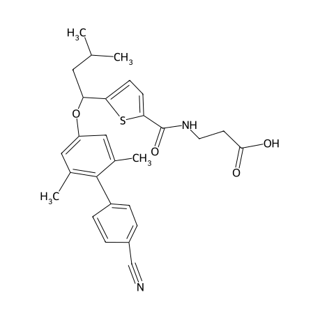 Cc1cc(OC(CC(C)C)c2ccc(C(=O)NCCC(=O)O)s2)cc(C)c1-c1ccc(C#N)cc1